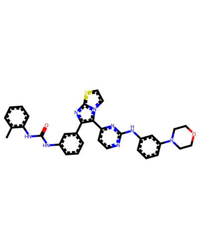 Cc1ccccc1NC(=O)Nc1cccc(-c2nc3sccn3c2-c2ccnc(Nc3cccc(N4CCOCC4)c3)n2)c1